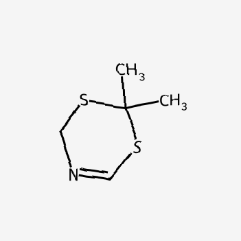 CC1(C)SC=NCS1